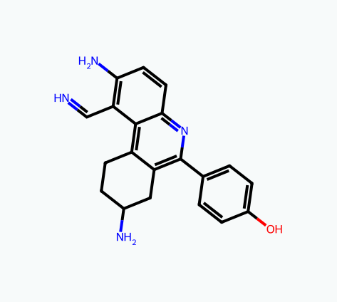 N=Cc1c(N)ccc2nc(-c3ccc(O)cc3)c3c(c12)CCC(N)C3